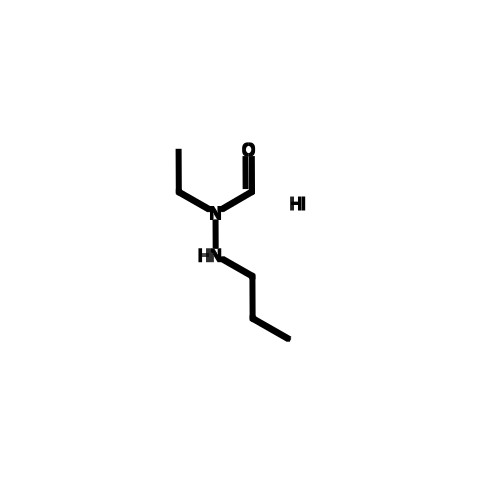 CCCNN(C=O)CC.I